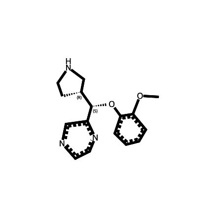 COc1ccccc1O[C@H](c1cnccn1)[C@@H]1CCNC1